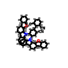 N#Cc1cc(-n2c3ccccc3c3ccc4c5ccccc5oc4c32)c(-n2c3ccccc3c3ccc4c5ccccc5oc4c32)cc1-c1c(C#N)cccc1C(F)(F)F